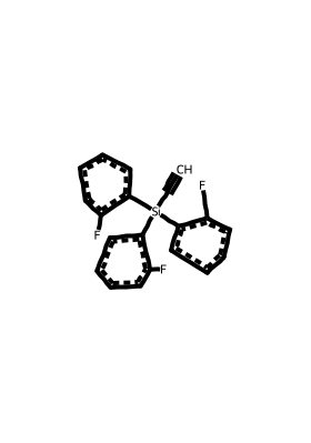 C#C[Si](c1ccccc1F)(c1ccccc1F)c1ccccc1F